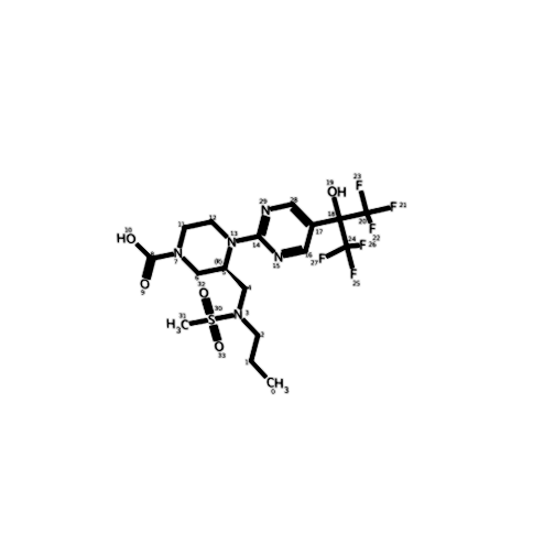 CCCN(C[C@H]1CN(C(=O)O)CCN1c1ncc(C(O)(C(F)(F)F)C(F)(F)F)cn1)S(C)(=O)=O